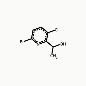 CC(O)c1nc(Br)ccc1Cl